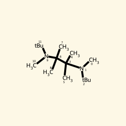 CN(C(C)(C)C)C(C)(C)C(C)(C)N(C)C(C)(C)C